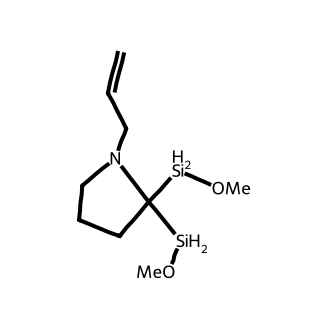 C=CCN1CCCC1([SiH2]OC)[SiH2]OC